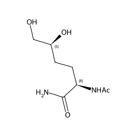 CC(=O)N[C@H](CC[C@H](O)CO)C(N)=O